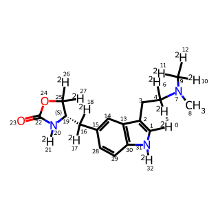 [2H]c1c(CC([2H])([2H])N(C)C([2H])([2H])[2H])c2cc(C([2H])([2H])[C@@H]3N([2H])C(=O)OC3([2H])[2H])ccc2n1[2H]